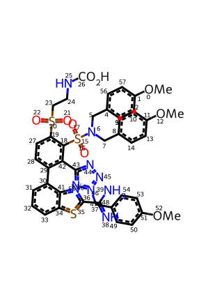 COc1ccc(CN(Cc2ccc(OC)cc2)S(=O)(=O)c2c(S(=O)(=O)CCNC(=O)O)ccc(-c3cccc4sc(C(=N)N)nc34)c2-c2nnn(Cc3ccc(OC)cc3)n2)cc1